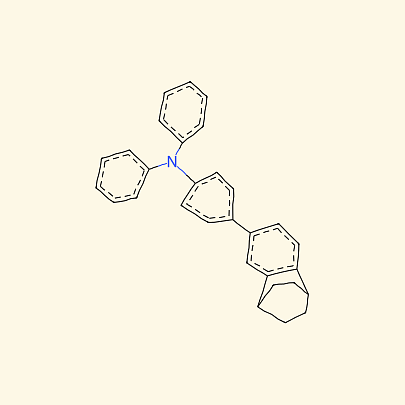 c1ccc(N(c2ccccc2)c2ccc(-c3ccc4c(c3)C3CCC4CC3)cc2)cc1